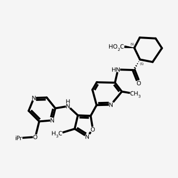 Cc1nc(-c2onc(C)c2Nc2cncc(OC(C)C)n2)ccc1NC(=O)[C@H]1CCCC[C@@H]1C(=O)O